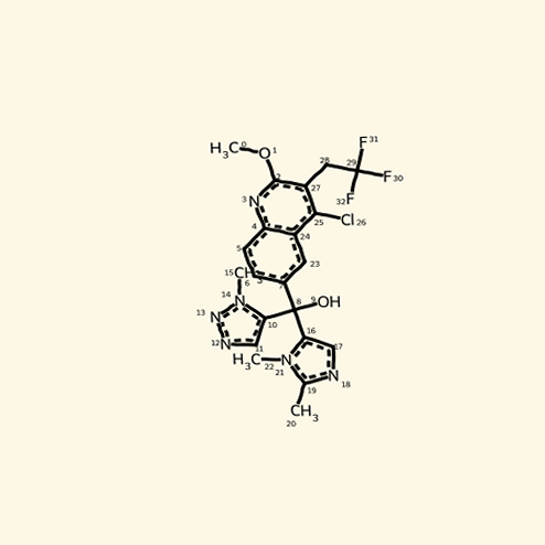 COc1nc2ccc(C(O)(c3cnnn3C)c3cnc(C)n3C)cc2c(Cl)c1CC(F)(F)F